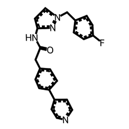 O=C(Cc1ccc(-c2ccncc2)cc1)Nc1ccn(Cc2ccc(F)cc2)n1